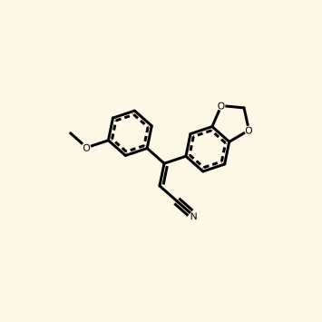 COc1cccc(/C(=C/C#N)c2ccc3c(c2)OCO3)c1